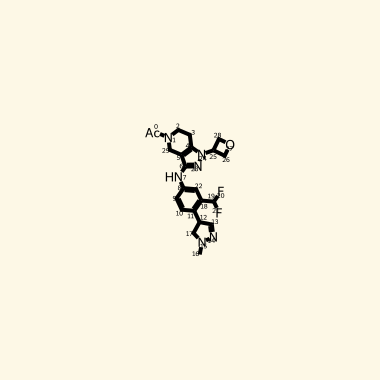 CC(=O)N1CCc2c(c(Nc3ccc(C4C=NN(C)C4)c(C(F)F)c3)nn2C2COC2)C1